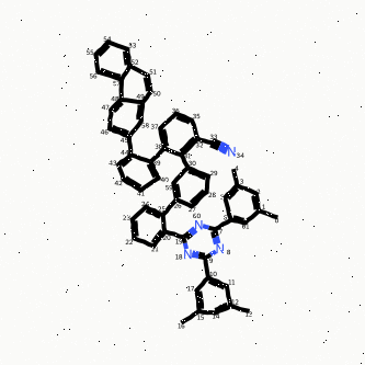 Cc1cc(C)cc(-c2nc(-c3cc(C)cc(C)c3)nc(-c3ccccc3-c3cccc(-c4c(C#N)cccc4-c4ccccc4-c4ccc5c(ccc6ccccc65)c4)c3)n2)c1